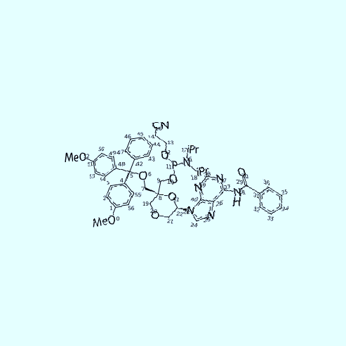 COc1ccc(C(OC[C@]2(COP(OCCC#N)N(C(C)C)C(C)C)COC[C@H](n3cnc4c(NC(=O)c5ccccc5)ncnc43)O2)(c2ccccc2)c2ccc(OC)cc2)cc1